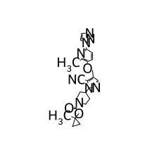 Cc1nc(-n2ccnn2)ccc1OCc1cnn(C2CCN(C(=O)OC3(C)CC3)CC2)c1C#N